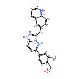 OCc1ccc(-c2ccc3ncc(Cc4ccc5ncccc5c4)n3n2)cc1Cl